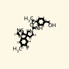 COc1ccc(CO)cc1NC(=O)N1CCC(c2ccc(C)c(F)c2)(c2ncns2)C1